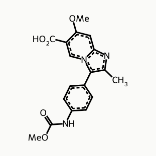 COC(=O)Nc1ccc(-c2c(C)nc3cc(OC)c(C(=O)O)cn23)cc1